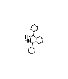 N=C(c1ccccc1)c1ccccc1C(=N)c1ccccc1